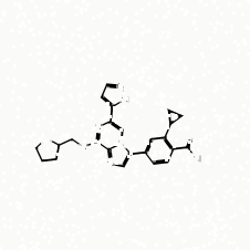 NC(=O)c1ccc(-c2cnc3c(NCC4CCCO4)nc(-c4ccn[nH]4)cn23)cc1C1CC1